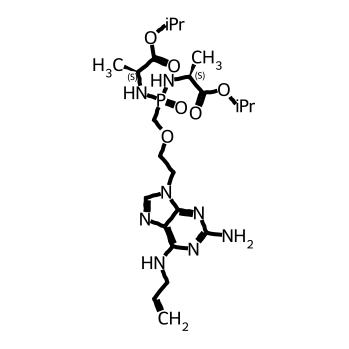 C=CCNc1nc(N)nc2c1ncn2CCOCP(=O)(N[C@@H](C)C(=O)OC(C)C)N[C@@H](C)C(=O)OC(C)C